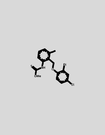 CCc1ccc(OCc2c(C)cccc2NC(=S)OC)c(CC)c1